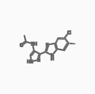 CC(=O)Nc1c[nH]nc1-c1nc2cc(Cl)c(C)cc2[nH]1